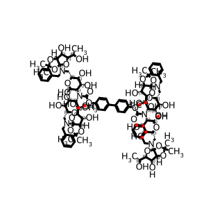 C[C@@H](O)[C@H]1O[C@@]2(N(Cc3ccccc3)C[C@H]3O[C@H](O)[C@@H](N(C(=O)Oc4ccc(-c5ccc(OC(=O)N([C@H]6[C@@H](O)[C@H](O)[C@@H](CN(Cc7ccccc7)[C@@]78O[C@H]([C@@H](C)O)[C@H](O)[C@H]7OC(C)(C)O8)O[C@@H]6O)[C@H]6[C@@H](O)[C@H](O)[C@@H](CN(Cc7ccccc7)[C@@]78O[C@H]([C@@H](C)O)[C@H](O)[C@H]7OC(C)(C)O8)O[C@@H]6O)cc5)cc4)[C@H]4[C@@H](O)[C@H](O)[C@@H](CN(Cc5ccccc5)[C@@]56O[C@H]([C@@H](C)O)[C@H](O)[C@H]5OC(C)(C)O6)O[C@@H]4O)[C@@H](O)[C@@H]3O)OC(C)(C)O[C@@H]2[C@H]1O